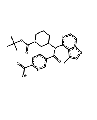 Cc1csc2ccnc(N(C(=O)c3ccc(C(=O)O)nc3)[C@@H]3CCCN(C(=O)OC(C)(C)C)C3)c12